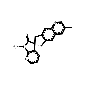 Cc1cnc2cc3c(cc2c1)C[C@@]1(C3)C(=O)N(N)c2ncccc21